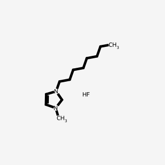 CCCCCCCCN1C=CN(C)C1.F